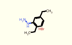 Br.CCc1ccc(CC)c(NN)c1